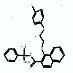 CCC(NC(=O)c1ccc2ccccc2c1OCCOc1ccc(F)cc1)(C(=O)O)c1ccccc1